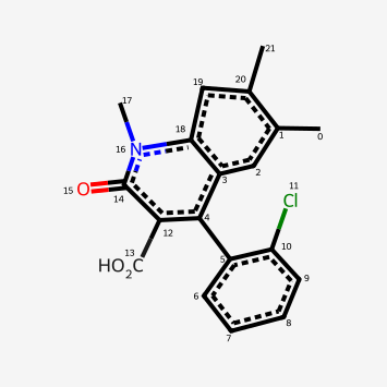 Cc1cc2c(-c3ccccc3Cl)c(C(=O)O)c(=O)n(C)c2cc1C